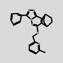 Cc1cccc(COc2nn3c(-c4ccccc4)nnc3c3c2C2CCC3CC2)n1